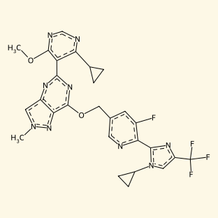 COc1ncnc(C2CC2)c1-c1nc(OCc2cnc(-c3nc(C(F)(F)F)cn3C3CC3)c(F)c2)c2nn(C)cc2n1